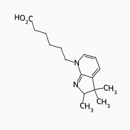 CC1N=C2C(=CC=CN2CCCCCC(=O)O)C1(C)C